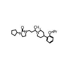 CC(C)Oc1ccccc1C1CCN(C(C)CCN2CCN(C3CCCC3)C2=O)CC1